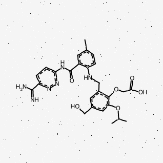 Cc1ccc(NCc2cc(CO)cc(OC(C)C)c2OCC(=O)O)c(C(=O)Nc2ccc(C(=N)N)nn2)c1